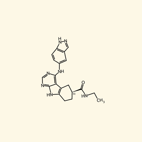 CCNC(=O)[C@H]1CCc2[nH]c3ncnc(Nc4ccc5[nH]ncc5c4)c3c2C1